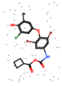 CC(C)c1cc(Oc2c(Br)cc(NC(=O)OC(=O)C3CCC3)cc2Br)cc(Cl)c1O